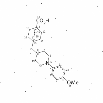 COc1ccc(N2CCN(CC34CCC(C(=O)O)(CC3)CC4)CC2)cc1